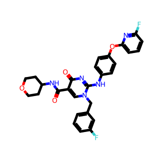 O=C(NC1CCOCC1)c1cn(Cc2cccc(F)c2)c(Nc2ccc(Oc3cccc(F)n3)cc2)nc1=O